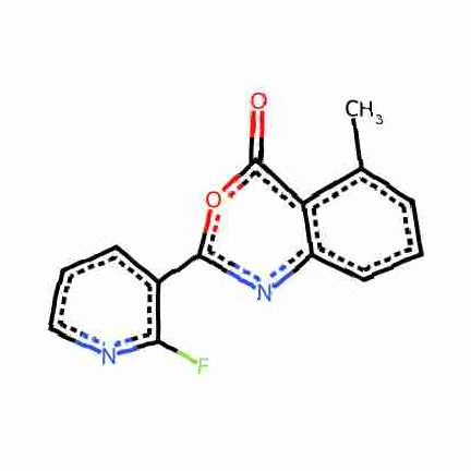 Cc1cccc2nc(-c3cccnc3F)oc(=O)c12